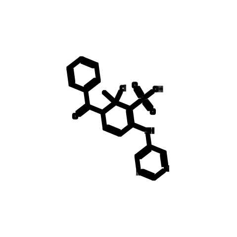 CC1(Cl)C(S(=O)(=O)O)=C(Nc2cncnc2)C=CC1C(=O)c1ccccc1